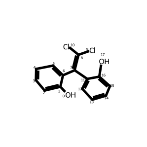 Oc1ccccc1C(=C(Cl)Cl)c1ccccc1O